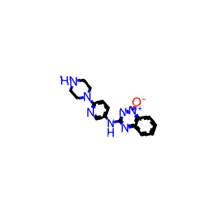 [O-][n+]1nc(Nc2ccc(N3CCNCC3)nc2)nc2ccccc21